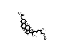 CC(=O)O[C@H]1CC[C@@]2(C)C(=CC[C@H]3[C@@H]4CC[C@H]([C@H](C)CCCC(C)CN=[N+]=[N-])[C@@]4(C)CC[C@@H]32)C1